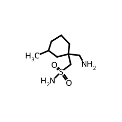 CC1CCCC(CN)(CS(N)(=O)=O)C1